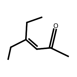 CCC(=CC(C)=O)CC